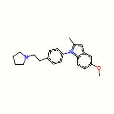 COc1ccc2c(c1)cc(C)n2-c1ccc(CCN2CCCC2)cc1